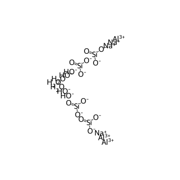 O.O.O.O=[Si]([O-])[O-].O=[Si]([O-])[O-].O=[Si]([O-])[O-].O=[Si]([O-])[O-].[Al+3].[Al+3].[Al+3].[Na+].[Na+].[Na+].[OH-].[OH-].[OH-].[OH-]